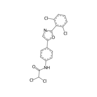 O=C(Nc1ccc(-c2cnc(-c3c(Cl)cccc3Cl)o2)cc1)C(Cl)Cl